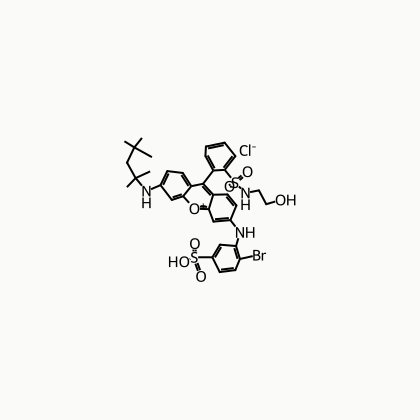 CC(C)(C)CC(C)(C)Nc1ccc2c(-c3ccccc3S(=O)(=O)NCCO)c3ccc(Nc4cc(S(=O)(=O)O)ccc4Br)cc3[o+]c2c1.[Cl-]